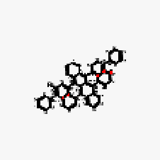 Fc1cc(-c2c3ccccc3c(-c3ccc(-c4ccccc4)c(F)c3)c3c(-c4ccccc4)c4ccccc4c(-c4ccccc4)c23)ccc1-c1ccccc1